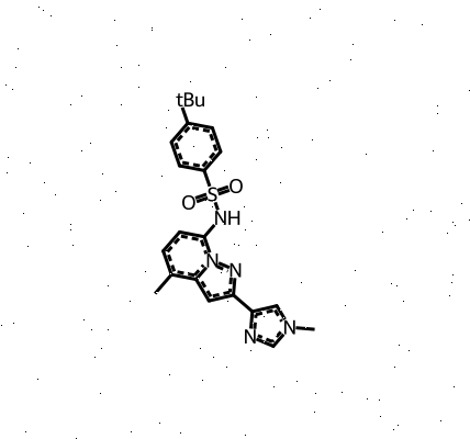 Cc1ccc(NS(=O)(=O)c2ccc(C(C)(C)C)cc2)n2nc(-c3cn(C)cn3)cc12